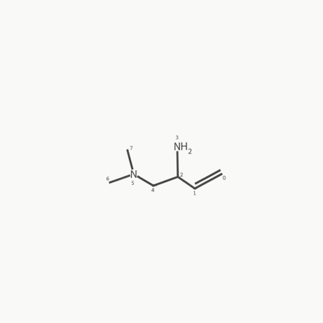 C=CC(N)[CH]N(C)C